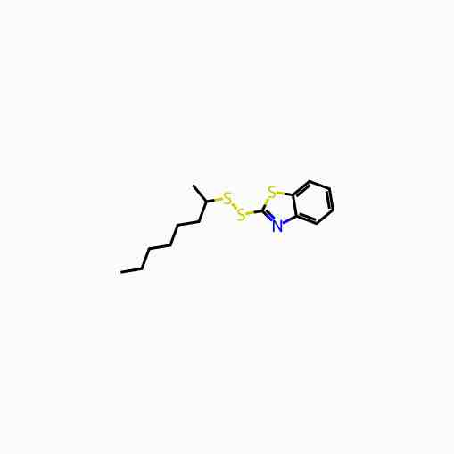 CCCCCCC(C)SSc1nc2ccccc2s1